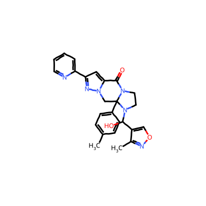 Cc1ccc(C23Cn4nc(-c5ccccn5)cc4C(=O)N2CCN3C(O)c2conc2C)cc1